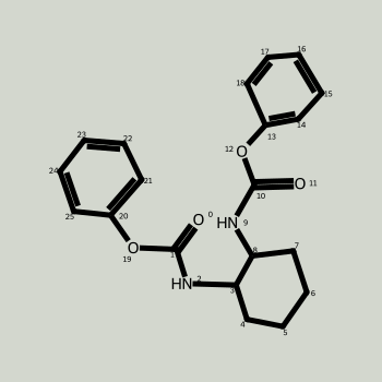 O=C(NC1CCCCC1NC(=O)Oc1ccccc1)Oc1ccccc1